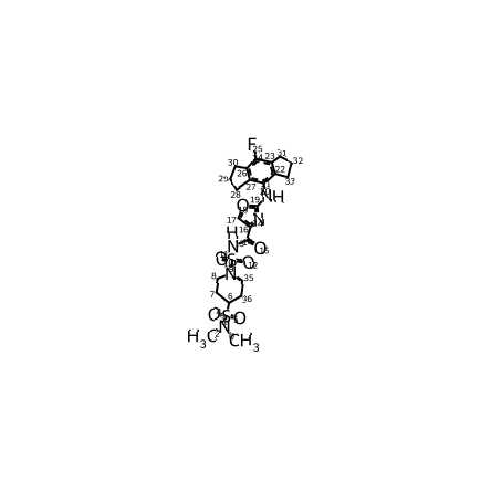 CN(C)S(=O)(=O)C1CCN(S(=O)(=O)NC(=O)c2coc(Nc3c4c(c(F)c5c3CCC5)CCC4)n2)CC1